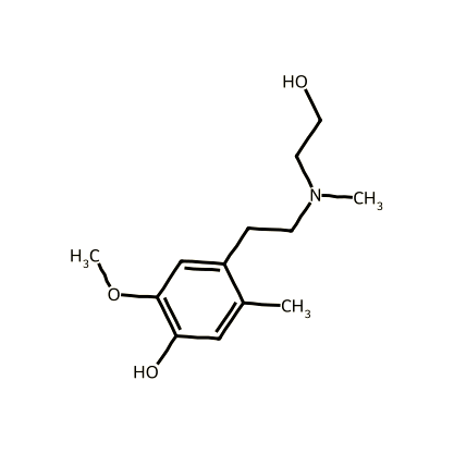 COc1cc(CCN(C)CCO)c(C)cc1O